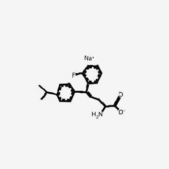 CC(C)c1ccc(C(=CCC(N)C(=O)[O-])c2ccccc2F)cc1.[Na+]